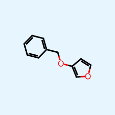 c1ccc(COc2ccoc2)cc1